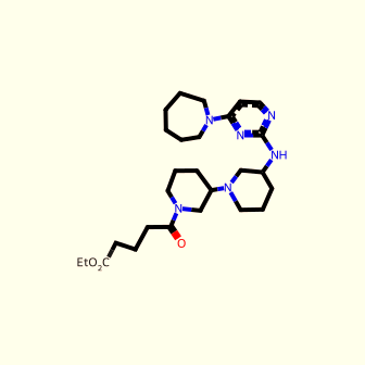 CCOC(=O)CCCC(=O)N1CCCC(N2CCCC(Nc3nccc(N4CCCCCC4)n3)C2)C1